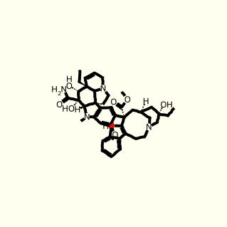 CC[C@]1(O)C[C@H]2CN(CCc3c([nH]c4ccccc34)[C@@](C(=O)OC)(c3cc4c(cc3OC)N(C)[C@@H]3[C@@](O)(C(N)=O)[C@H](O)[C@]5(CC)C=CCN6CC[C@]43C65)C2)C1